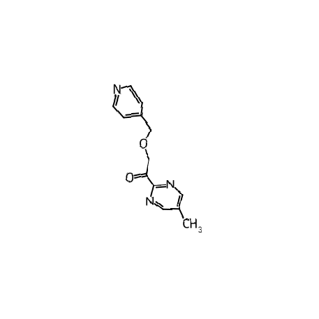 Cc1cnc(C(=O)COCc2ccncc2)nc1